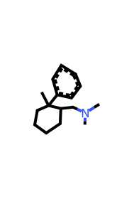 CN(C)CC1CCCCC1(C)c1ccccc1